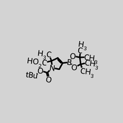 CC(C)(C)OC(=O)N1CC(B2OC(C)(C)C(C)(C)O2)=CC1(C)C(=O)O